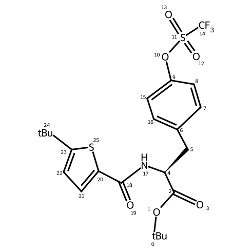 CC(C)(C)OC(=O)[C@H](Cc1ccc(OS(=O)(=O)C(F)(F)F)cc1)NC(=O)c1ccc(C(C)(C)C)s1